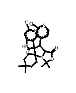 CC1(C)CCC2(CC1)N1C(C(=O)OC1(C)C)C(c1ccnc(Cl)c1)C21C(=O)Nc2cc(Cl)ncc21